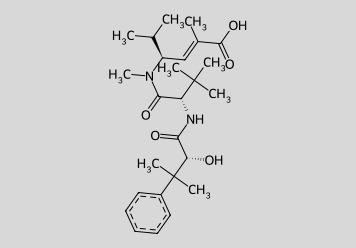 CC(=C[C@H](C(C)C)N(C)C(=O)[C@@H](NC(=O)[C@H](O)C(C)(C)c1ccccc1)C(C)(C)C)C(=O)O